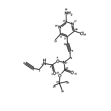 C#CCNC(=O)ON(CC#Cc1c(C)nc(N)nc1Cl)C(=O)OC(C)(C)C